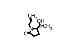 C=CCN1C(=O)CCC1[C@H](C)O